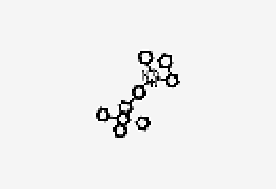 c1ccc(-c2nc(-c3ccc(-c4ccc5c(-c6ccccc6)c6ccccc6c(-c6ccccc6)c5c4)cc3)nc(-c3ccccc3-c3ccccc3)n2)cc1